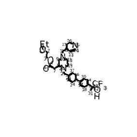 CCOCCOC(=O)CC1CN(Cc2ccncc2)CCN1Cc1ccc(-c2ccc(C(C)(O)C(F)(F)F)cc2)cc1